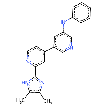 Cc1nc(-c2cc(-c3cncc(Nc4ccccc4)c3)ccn2)[nH]c1C